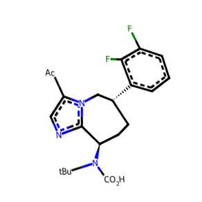 CC(=O)c1cnc2n1C[C@H](c1cccc(F)c1F)CC[C@H]2N(C(=O)O)C(C)(C)C